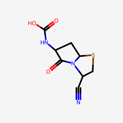 N#CC1CSC2CC(NC(=O)O)C(=O)N12